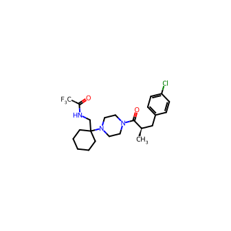 C[C@H](Cc1ccc(Cl)cc1)C(=O)N1CCN(C2(CNC(=O)C(F)(F)F)CCCCC2)CC1